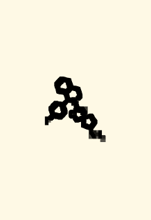 N[C@H]1CC[C@]2(COC(N3CCc4ccccc4[C@@H]3c3ccc(F)cc3)=N2)C1